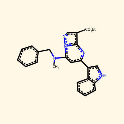 CCOC(=O)c1cnn2c(N(C)Cc3ccccc3)cc(-c3c[nH]c4ccccc34)nc12